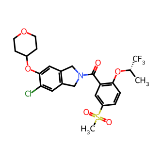 C[C@H](Oc1ccc(S(C)(=O)=O)cc1C(=O)N1Cc2cc(Cl)c(OC3CCOCC3)cc2C1)C(F)(F)F